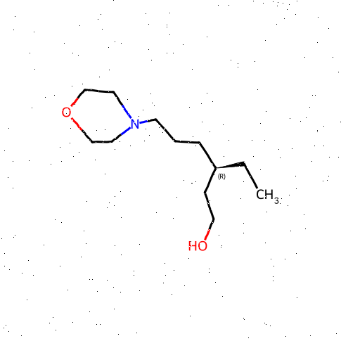 CC[C@@H](CCO)CCCN1CCOCC1